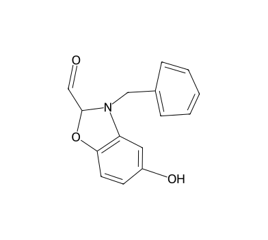 O=CC1Oc2ccc(O)cc2N1Cc1ccccc1